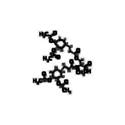 CC(=O)Oc1ccc(C=CC(=O)OC[C@@H](C(=O)O)N(C)C(=O)C=Cc2ccc(OC(C)=O)c(OC(C)=O)c2)cc1OC(C)=O